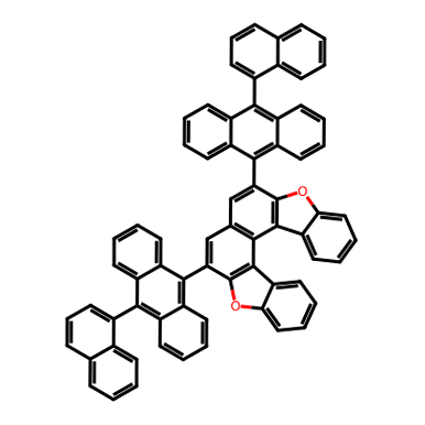 c1ccc2c(-c3c4ccccc4c(-c4cc5cc(-c6c7ccccc7c(-c7cccc8ccccc78)c7ccccc67)c6oc7ccccc7c6c5c5c4oc4ccccc45)c4ccccc34)cccc2c1